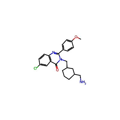 COc1ccc(-c2nc3ccc(Cl)cc3c(=O)n2CC2CCCC(CN)C2)cc1